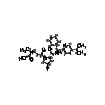 CC(C)c1ccc([C@@H](NC(=O)[C@@H]2C[C@@H](F)CN2C(=O)CCN(C)C(=O)O)c2ccccc2)nc1